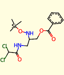 C[Si](C)(C)ONC(CNC(=O)C(Cl)Cl)COC(=O)c1ccccc1